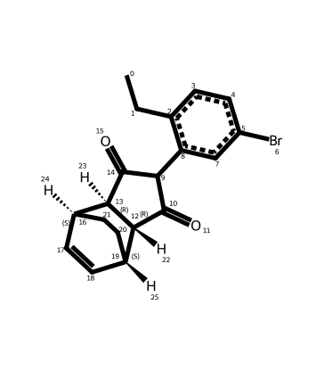 CCc1ccc(Br)cc1C1C(=O)[C@H]2[C@H](C1=O)[C@@H]1C=C[C@@H]2CC1